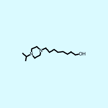 CC(C)N1CCN(CCCCCCCCO)CC1